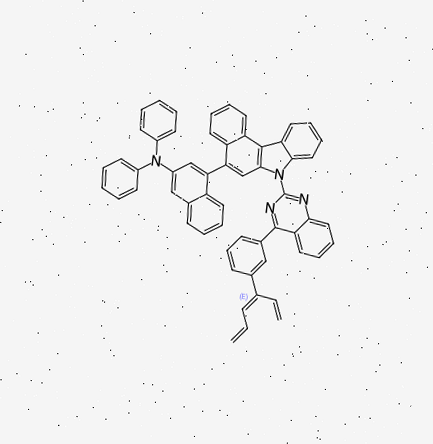 C=C/C=C(\C=C)c1cccc(-c2nc(-n3c4ccccc4c4c5ccccc5c(-c5cc(N(c6ccccc6)c6ccccc6)cc6ccccc56)cc43)nc3ccccc23)c1